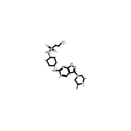 C[C@H]1CN(c2n[nH]c3nc(N[C@H]4CC[C@H](NS(=O)(=O)CCC(F)(F)F)CC4)ncc23)CCO1